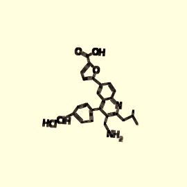 Cc1ccc(-c2c(CN)c(CC(C)C)nc3ccc(-c4ccc(C(=O)O)o4)cc23)cc1.Cl.Cl